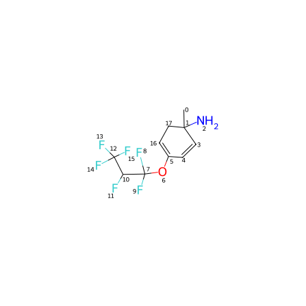 CC1(N)C=CC(OC(F)(F)C(F)C(F)(F)F)=CC1